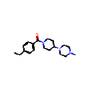 CCc1ccc(C(=O)N2CCC(N3CCN(C)CC3)CC2)cc1